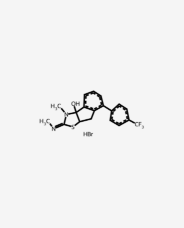 Br.CN=C1SC2Cc3c(-c4ccc(C(F)(F)F)cc4)cccc3C2(O)N1C